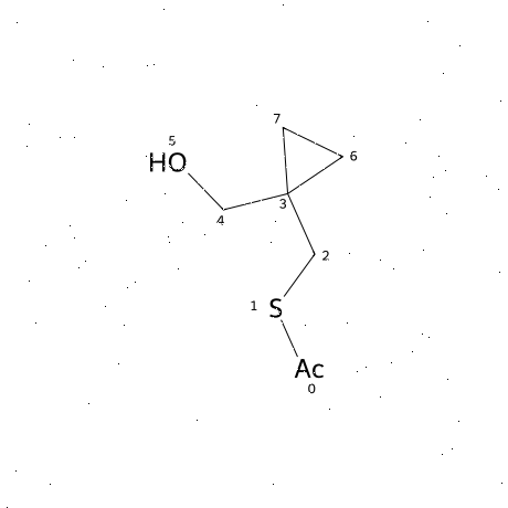 CC(=O)SCC1(CO)CC1